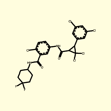 O=C(NC1CCC(F)(F)CC1)c1cc(NC(=O)C2C(c3cc(Cl)cc(Cl)c3)C2(Cl)Cl)ccc1Cl